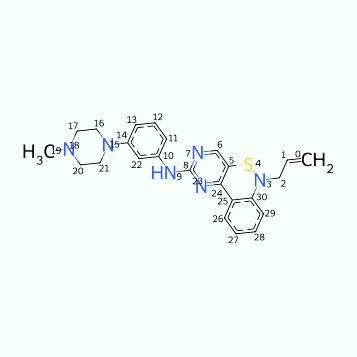 C=CCN1Sc2cnc(Nc3cccc(N4CCN(C)CC4)c3)nc2-c2ccccc21